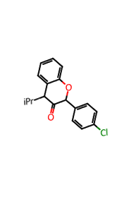 CC(C)C1C(=O)C(c2ccc(Cl)cc2)Oc2ccccc21